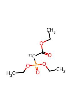 CCOC(=O)[13CH2]P(=O)(OCC)OCC